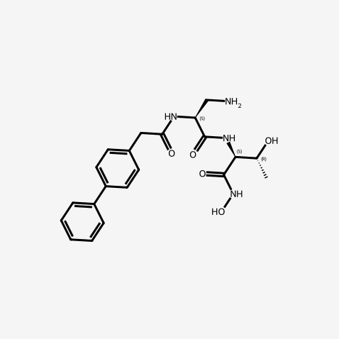 C[C@@H](O)[C@H](NC(=O)[C@H](CN)NC(=O)Cc1ccc(-c2ccccc2)cc1)C(=O)NO